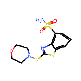 NS(=O)(=O)c1cccc2sc(SN3CCOCC3)nc12